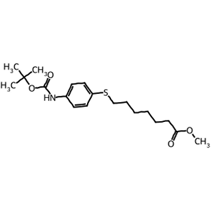 COC(=O)CCCCCCSc1ccc(NC(=O)OC(C)(C)C)cc1